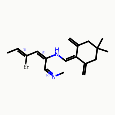 C=C1CC(C)(C)CC(=C)C1=CNC(/C=N\C)=C/C(=C/C)CC